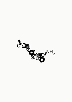 C#CC(=O)N1Cc2cnn(Cc3cc(C)c4c(NS(=O)(=O)c5ccccc5OCCN)noc4c3)c2C1